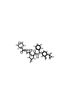 CC1(c2ccc(C(NC(=O)C3CC(F)CN3C(=O)CNC(=O)N3CCOCC3)c3ccccc3)cc2F)CC1